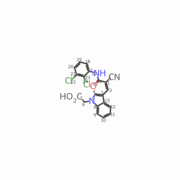 N#CC(=Cc1cn(CC(=O)O)c2ccccc12)C(=O)Nc1cccc(Cl)c1Cl